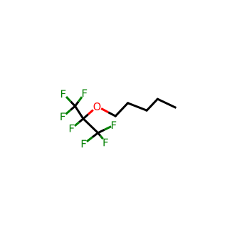 CCCCCOC(F)(C(F)(F)F)C(F)(F)F